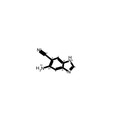 N#Cc1cc2[nH]cnc2cc1N